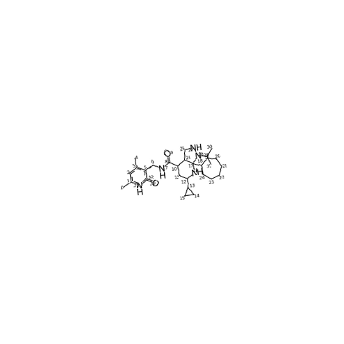 Cc1cc(C)c(CNC(=O)C2CC(C3CC3)NC3(C4CCCCCC4)C2CNN3C(C)C)c(=O)[nH]1